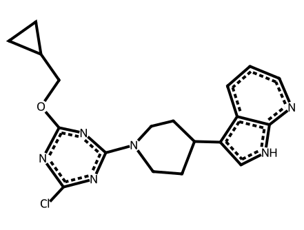 Clc1nc(OCC2CC2)nc(N2CCC(c3c[nH]c4ncccc34)CC2)n1